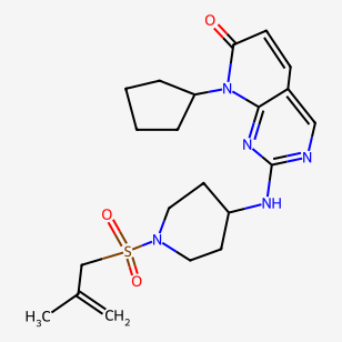 C=C(C)CS(=O)(=O)N1CCC(Nc2ncc3ccc(=O)n(C4CCCC4)c3n2)CC1